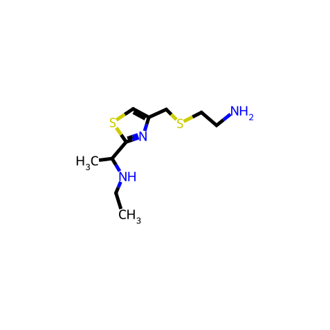 CCNC(C)c1nc(CSCCN)cs1